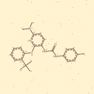 Cc1ccc(NC(=O)Nc2ccc(N(C)C)nc2Oc2ccccc2C(C)(C)C)cc1